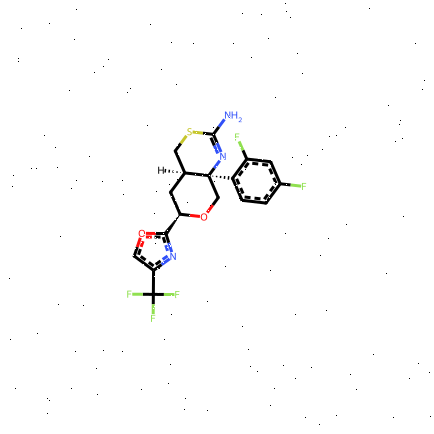 NC1=N[C@@]2(c3ccc(F)cc3F)CO[C@@H](c3nc(C(F)(F)F)co3)C[C@H]2CS1